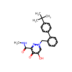 CNC(=O)c1nn(Cc2ccccc2-c2ccc(C(C)(C)C)cc2)cc(O)c1=O